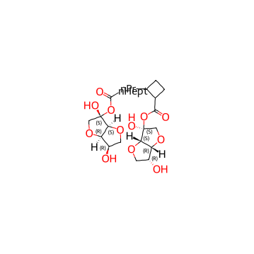 CCCC1CCC1C(=O)O[C@@]1(O)CO[C@@H]2[C@H](O)CO[C@@H]21.CCCCCCCC(=O)O[C@@]1(O)CO[C@@H]2[C@H](O)CO[C@@H]21